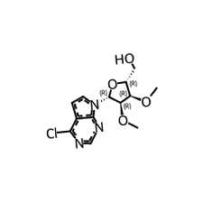 CO[C@@H]1[C@H](OC)[C@@H](CO)O[C@H]1n1ccc2c(Cl)ncnc21